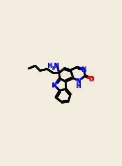 CCCCCC1(N)C=c2cnc(=O)[nH]c2=C2C1=Nc1ccccc12